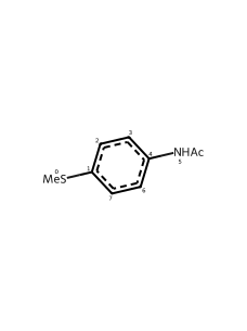 CSc1ccc(NC(C)=O)cc1